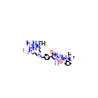 Cc1ccccc1NC(=O)Nc1nc(=O)c(-c2ccc(CN(CCCN)CCCN(C)C(=N)N)cc2)c[nH]1